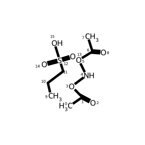 CC(=O)ONOC(C)=O.CCCS(=O)(=O)O